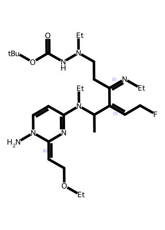 CC/N=C(CCN(CC)NC(=O)OC(C)(C)C)\C(=C/CF)C(C)N(CC)C1=N/C(=C\COCC)N(N)C=C1